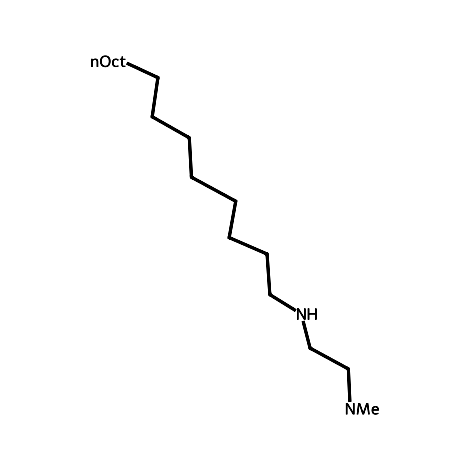 CCCCCCCCCCCCCCCCNCCNC